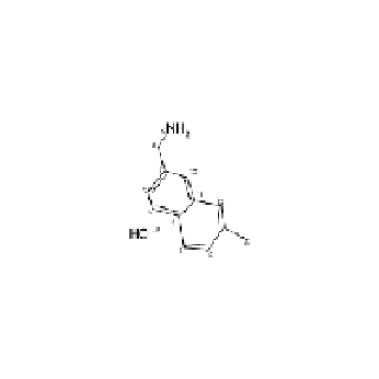 Cc1ccc2ccc(CN)cc2c1.Cl